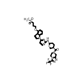 CS(=O)(=O)CCCOc1cccc2c1ccn2-c1ccnc(N[C@H]2CC[C@H](C(=O)N3CCn4c(nnc4C(F)(F)F)C3)CC2)n1